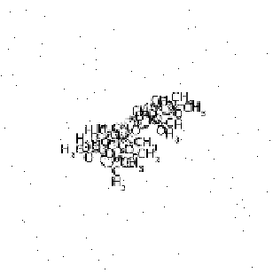 CC[C@@H]([C@H](OC(C)=O)[C@@H](C)[C@@H](OC(C)=O)[C@H](C)[C@@H]1O[C@@H]([C@@H](CC)C(=O)OC)CCC1C)[C@H]1O[C@]2(C=C[C@@H](OC(C)=O)[C@]3(CC[C@@](C)([C@H]4CC[C@](O)(CC)[C@H](C)O4)O3)O2)[C@H](C)C[C@@H]1C